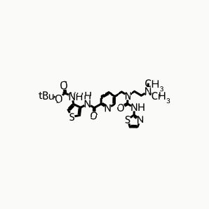 CN(C)CCN(Cc1ccc(C(=O)Nc2cscc2NC(=O)OC(C)(C)C)nc1)C(=O)Nc1nccs1